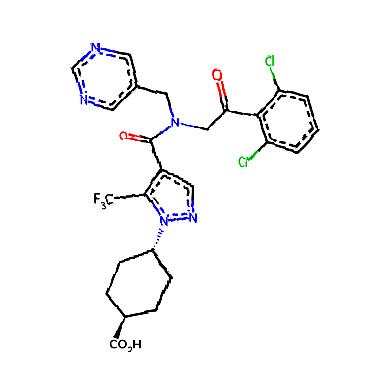 O=C(CN(Cc1cncnc1)C(=O)c1cnn([C@H]2CC[C@H](C(=O)O)CC2)c1C(F)(F)F)c1c(Cl)cccc1Cl